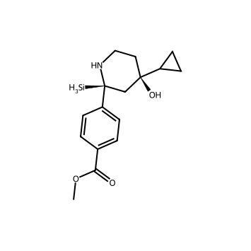 COC(=O)c1ccc([C@@]2([SiH3])C[C@@](O)(C3CC3)CCN2)cc1